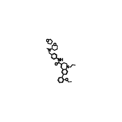 C1CCOC1.CCCN1CCC(C(=O)Nc2ccc(CN(C)C3CCCOC3)cc2)=Cc2cc(-c3ccccc3OCC)ccc21